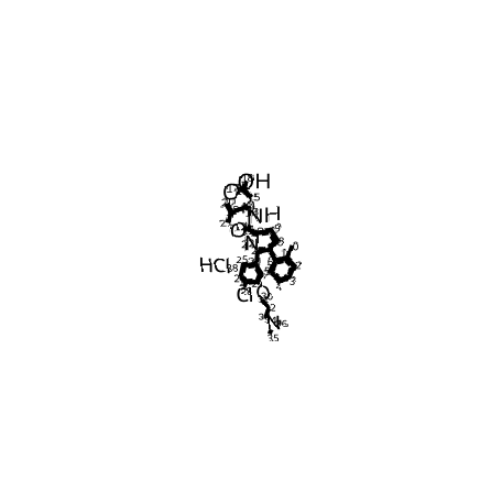 Cc1ccccc1-c1ccc(C(=O)N[C@@H](CC(=O)O)C(C)C)nc1-c1ccc(Cl)c(OCCCN(C)C)c1.Cl